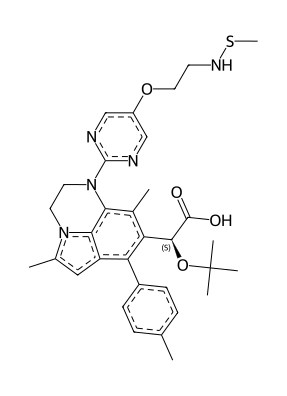 CSNCCOc1cnc(N2CCn3c(C)cc4c(-c5ccc(C)cc5)c([C@H](OC(C)(C)C)C(=O)O)c(C)c2c43)nc1